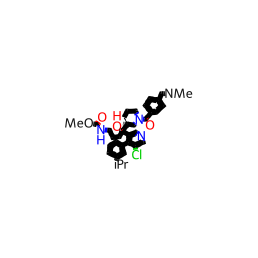 CNCc1ccc(C(=O)N2CCC[C@@H]([C@@](O)(CCCNC(=O)OC)c3cncc(Cl)c3-c3cccc(C(C)C)c3)C2)cc1